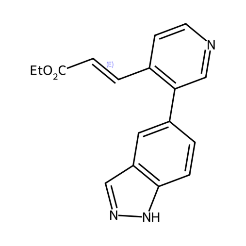 CCOC(=O)/C=C/c1ccncc1-c1ccc2[nH]ncc2c1